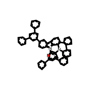 c1ccc(-c2cc(-c3ccccc3)cc(-c3ccc4c(c3)c3ccc5c(c3n4-c3nc(-c4ccccc4)cc(-c4ccccc4)n3)N(c3ccccc3)c3ccccc3-c3ccccc3-5)c2)cc1